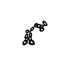 c1ccc(N(c2ccc(-n3ccc4cc5c(cc43)c3ccccc3n5-c3ccccc3)cc2)c2ccc3c(c2)C(c2ccccc2)(c2ccccc2)c2ccccc2-3)cc1